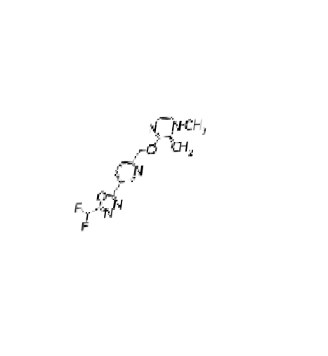 C=C1C(OCc2ccc(-c3nnc(C(F)F)o3)cn2)=NC=CN1C